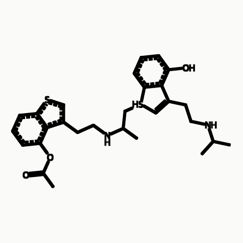 CC(=O)Oc1cccc2scc(CCNC(C)C[SH]3C=C(CCNC(C)C)c4c(O)cccc43)c12